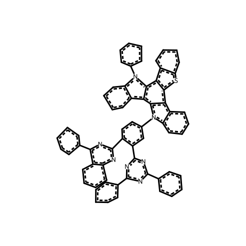 c1ccc(-c2nc(-c3ccccc3)nc(-c3cc(-n4c5ccccc5c5c6sc7ccccc7c6c6c(c7ccccc7n6-c6ccccc6)c54)ccc3-c3nc(-c4ccccc4)c4ccccc4n3)n2)cc1